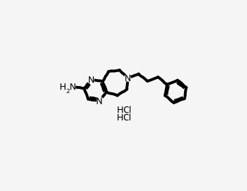 Cl.Cl.Nc1cnc2c(n1)CCN(CCCc1ccccc1)CC2